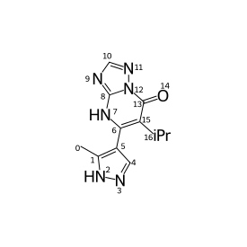 Cc1[nH]ncc1-c1[nH]c2ncnn2c(=O)c1C(C)C